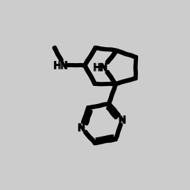 CNC1CC2CCC(c3cnccn3)(C1)N2